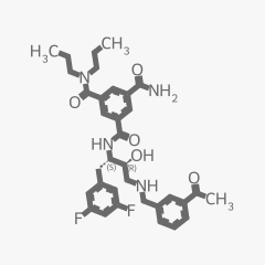 CCCN(CCC)C(=O)c1cc(C(N)=O)cc(C(=O)N[C@@H](Cc2cc(F)cc(F)c2)[C@H](O)CNCc2cccc(C(C)=O)c2)c1